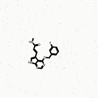 CNC(=O)C=Cc1c[nH]c2ncnc(OCc3cccc(F)c3)c12